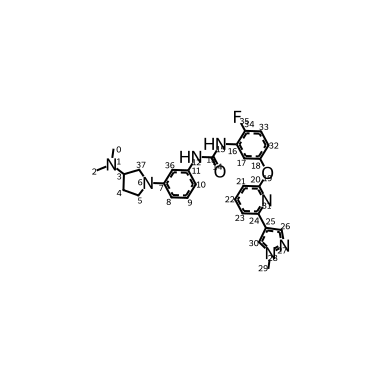 CN(C)C1CCN(c2cccc(NC(=O)Nc3cc(Oc4cccc(-c5cnn(C)c5)n4)ccc3F)c2)C1